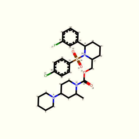 CC1CC(N2CCCCC2)CCN1C(=O)OCC1CCCC(c2cccc(F)c2)N1S(=O)(=O)c1ccc(Cl)cc1